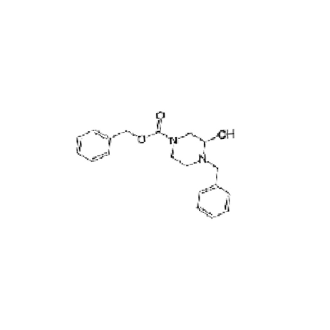 O=C(OCc1ccccc1)N1CCN(Cc2ccccc2)C(O)C1